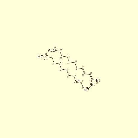 CC/C=C\C=C\CCCCCCCC(=O)O.CCC=CC=CCCCCCCOC(C)=O